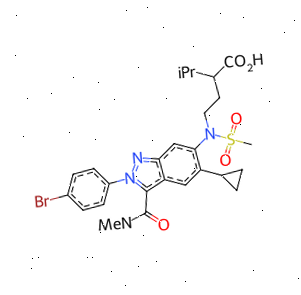 CNC(=O)c1c2cc(C3CC3)c(N(CCC(C(=O)O)C(C)C)S(C)(=O)=O)cc2nn1-c1ccc(Br)cc1